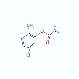 CNC(=O)Oc1cc(Cl)ccc1N